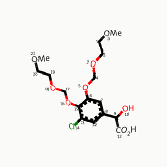 COCCOCOc1cc(C(O)C(=O)O)cc(Cl)c1OCOCCOC